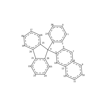 c1ccc(C2(c3ccc4ccccc4c3)c3ccccc3-c3ccccc32)cc1